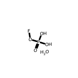 O.O=P(O)(O)OF